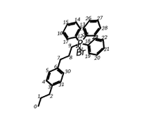 CCCc1ccc(CCCP(Br)(c2ccccc2)(c2ccccc2)c2ccccc2)cc1